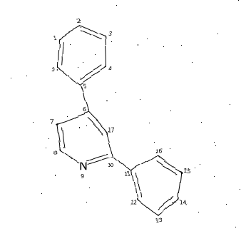 [c]1ccccc1-c1ccnc(-c2ccccc2)c1